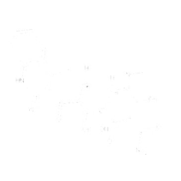 CN(C)[C@@H]1C(O)=C(C(N)=O)C(=O)[C@@]2(O)C(O)=C3C(=O)c4c(c5ccccc5[nH]c4=O)C[C@H]3C[C@@H]12